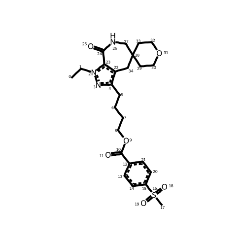 CCn1nc(CCCCOC(=O)c2ccc(S(C)(=O)=O)cc2)c2c1C(=O)NCC1(CCOCC1)C2